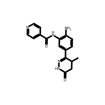 CC1CC(=O)NN=C1c1ccc(N)c(NC(=O)c2ccncc2)c1